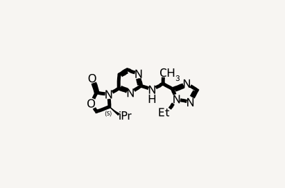 CCn1ncnc1C(C)Nc1nccc(N2C(=O)OC[C@@H]2C(C)C)n1